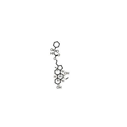 CC[C@H]1[C@@H](O)[C@@H]2[C@H](CC[C@]3(C)C(CCOC(=O)NS(=O)(=O)C4CCCCC4)CC[C@@H]23)[C@@]2(C)CC[C@@H](O)C[C@@H]12